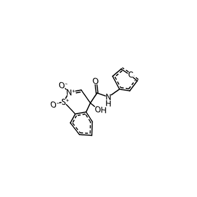 O=C(Nc1ccccc1)C1(O)C=[N+]([O-])[S+]([O-])c2ccccc21